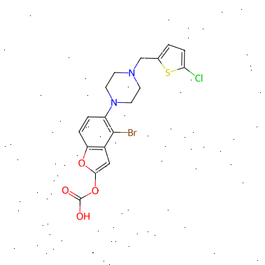 O=C(O)Oc1cc2c(Br)c(N3CCN(Cc4ccc(Cl)s4)CC3)ccc2o1